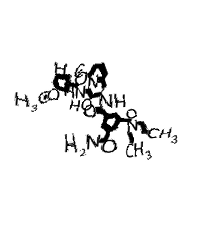 CCCN(CCC)C(=O)c1cc(C(N)=O)cc(C(=O)N[C@@H](Cc2cccc(OC)n2)[C@H](O)CNCc2cccc(OC)c2)c1